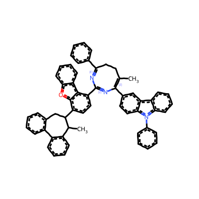 C/C1=C(c2ccc3c(c2)c2ccccc2n3-c2ccccc2)/N=C(c2ccc(C3Cc4ccccc4-c4ccccc4C3C)c3oc4ccccc4c23)\N=C(\c2ccccc2)CC1